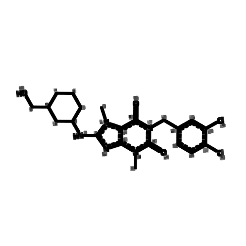 Cn1c(NC2CCCC(CO)C2)nc2c1c(=O)n(Cc1ccc(Cl)c(Cl)c1)c(=O)n2C